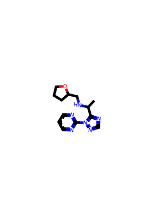 CC(NCC1CCCO1)c1ncnn1-c1ncccn1